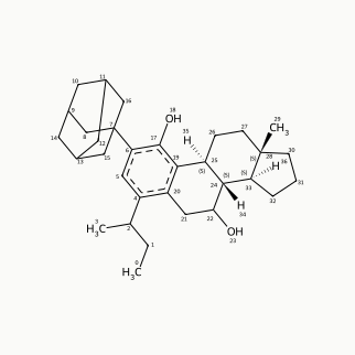 CCC(C)c1cc(C23CC4CC(CC(C4)C2)C3)c(O)c2c1CC(O)[C@@H]1[C@@H]2CC[C@]2(C)CCC[C@@H]12